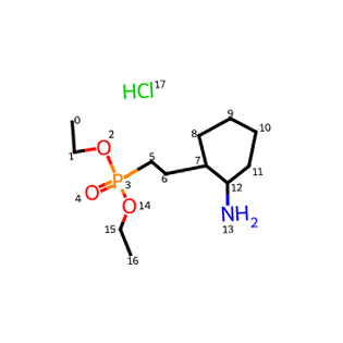 CCOP(=O)(CCC1CCCCC1N)OCC.Cl